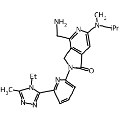 CCn1c(C)nnc1-c1cccc(N2Cc3c(cc(N(C)C(C)C)nc3CN)C2=O)n1